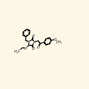 CCOC1C(=O)N(CC(=O)c2ccc(OC)cc2)C(=O)N1Cc1ccccc1